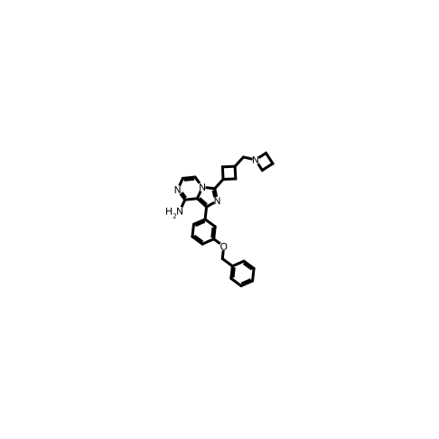 Nc1nccn2c(C3CC(CN4CCC4)C3)nc(-c3cccc(OCc4ccccc4)c3)c12